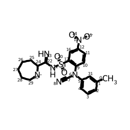 Cc1cccc(N(C#N)c2ccc([N+](=O)[O-])cc2S(=O)(=O)NC(=N)C2CCCCC[N]2)c1